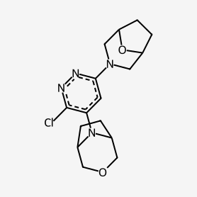 Clc1nnc(N2CC3CCC(C2)O3)cc1N1C2CCC1COC2